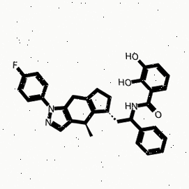 C[C@@H]1C2=C(CC[C@@H]2CC(NC(=O)c2cccc(O)c2O)c2ccccc2)Cc2c1cnn2-c1ccc(F)cc1